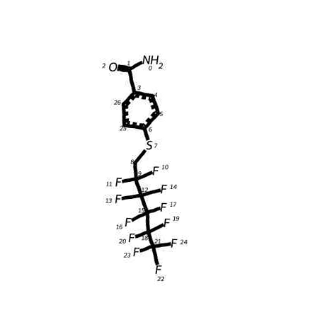 NC(=O)c1ccc(SCC(F)(F)C(F)(F)C(F)(F)C(F)(F)C(F)(F)F)cc1